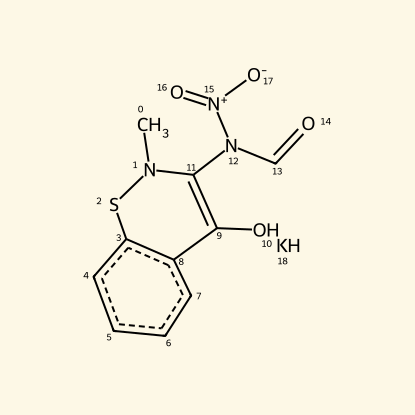 CN1Sc2ccccc2C(O)=C1N(C=O)[N+](=O)[O-].[KH]